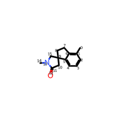 Cc1cccc2c1CCC21CC(=O)N(C)C1